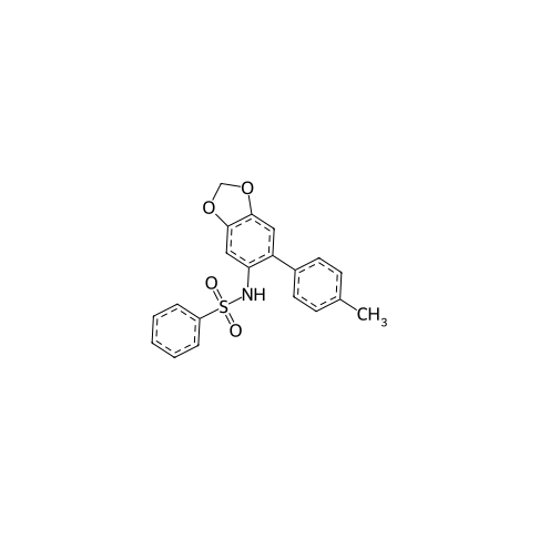 Cc1ccc(-c2cc3c(cc2NS(=O)(=O)c2ccccc2)OCO3)cc1